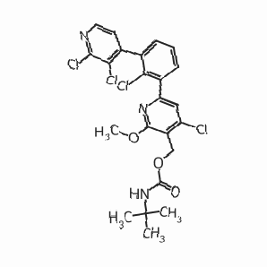 COc1nc(-c2cccc(-c3ccnc(Cl)c3Cl)c2Cl)cc(Cl)c1COC(=O)NC(C)(C)C